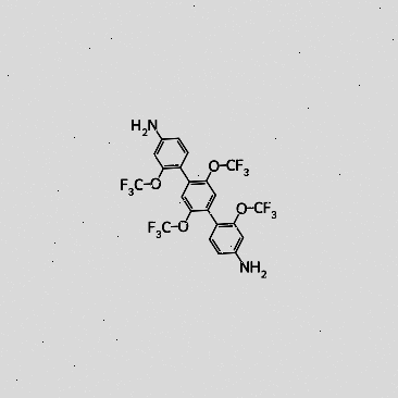 Nc1ccc(-c2cc(OC(F)(F)F)c(-c3ccc(N)cc3OC(F)(F)F)cc2OC(F)(F)F)c(OC(F)(F)F)c1